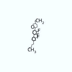 C=CC1CCC(c2ccc(-c3ccc(CCCCC)cc3F)c(F)c2F)OC1